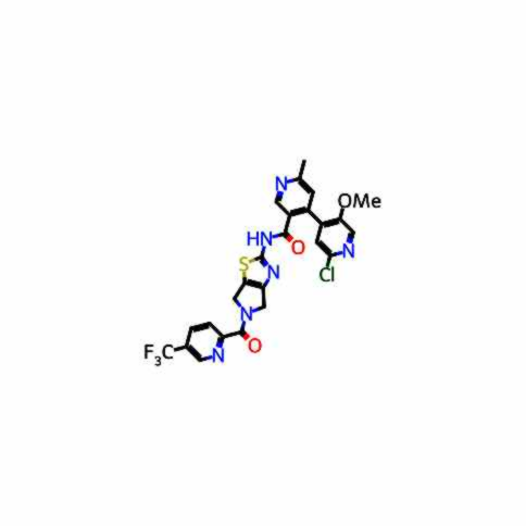 COc1cnc(Cl)cc1-c1cc(C)ncc1C(=O)Nc1nc2c(s1)CN(C(=O)c1ccc(C(F)(F)F)cn1)C2